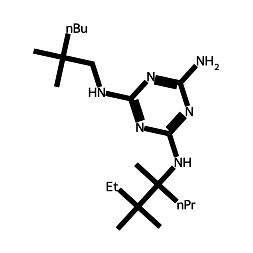 CCCCC(C)(C)CNc1nc(N)nc(NC(C)(CCC)C(C)(C)CC)n1